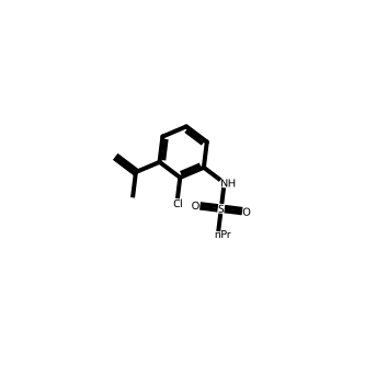 C=C(C)c1cccc(NS(=O)(=O)CCC)c1Cl